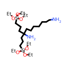 CCO[Si](CCCC(N)(CCCCCCCN)CCC[Si](OCC)(OCC)OCC)(OCC)OCC